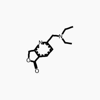 CCN(CC)Cc1ccc2c(n1)COC2=O